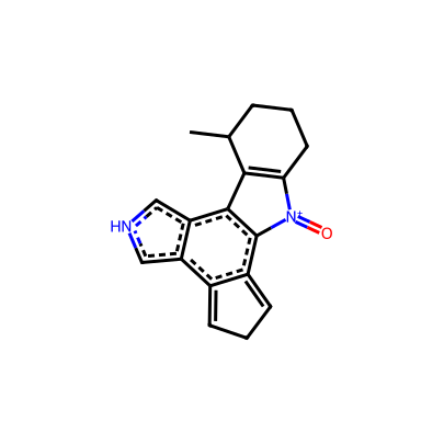 CC1CCCC2=C1c1c(c3c(c4c[nH]cc14)=CCC=3)[N+]2=O